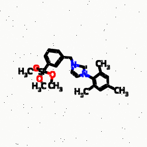 CO[Si](OC)(OC)c1cccc(CN2[C]N(c3c(C)cc(C)cc3C)C=C2)c1